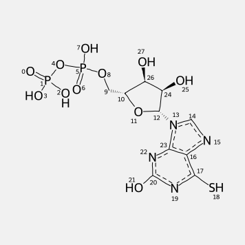 O=P(O)(O)OP(=O)(O)OC[C@H]1O[C@@H](n2cnc3c(S)nc(O)nc32)[C@H](O)[C@@H]1O